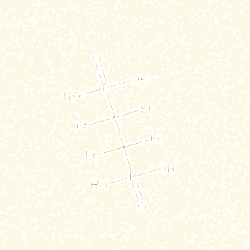 CCC(CC)(C(CC)(CC)P(=O)(O)O)P(=O)(O)O